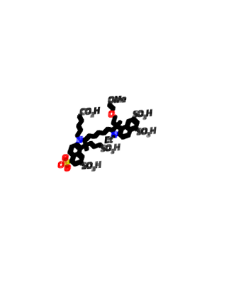 CC[N+]1=C(/C=C/C=C/C=C2/N(CCCCCC(=O)O)c3ccc4c(S(=O)(=O)[O-])cc(S(=O)(=O)O)cc4c3C2(C)CCCS(=O)(=O)O)C(C)(CCOCCOC)c2c1ccc1c(S(=O)(=O)O)cc(S(=O)(=O)O)cc21